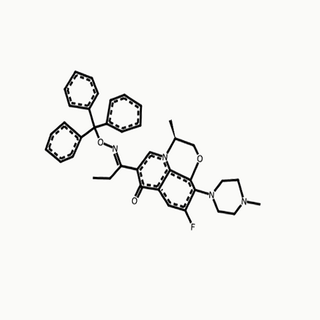 CC/C(=N\OC(c1ccccc1)(c1ccccc1)c1ccccc1)c1cn2c3c(c(N4CCN(C)CC4)c(F)cc3c1=O)OC[C@@H]2C